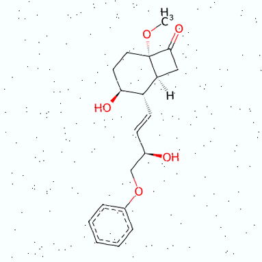 CO[C@@]12CC[C@H](O)[C@@H](/C=C/[C@@H](O)COc3ccccc3)[C@@H]1CC2=O